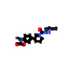 CCCCCNC(=O)N1CCCC(c2ccc3c(c2)oc(=O)n3C)C1